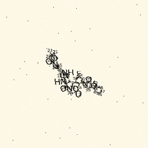 CC(=O)OCc1c(-c2cc(Nc3cc(C4CN(C(=O)OC(C)(C)C)C4)[nH]n3)c(=O)n(C)c2)cc(F)cc1N1CCc2c(sc3c2CCCC3)C1=O